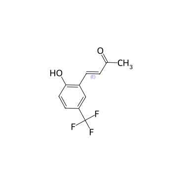 CC(=O)/C=C/c1cc(C(F)(F)F)ccc1O